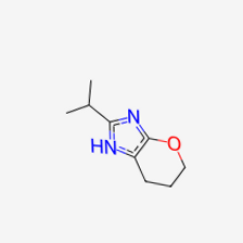 CC(C)c1nc2c([nH]1)CCCO2